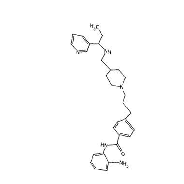 CCC(NCC1CCN(CCCc2ccc(C(=O)Nc3ccccc3N)cc2)CC1)c1cccnc1